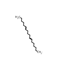 [CH2]CCCCCC=CCCCC=CCCCCC